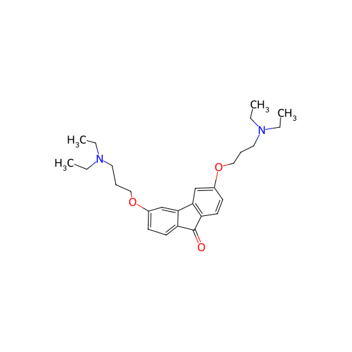 CCN(CC)CCCOc1ccc2c(c1)-c1cc(OCCCN(CC)CC)ccc1C2=O